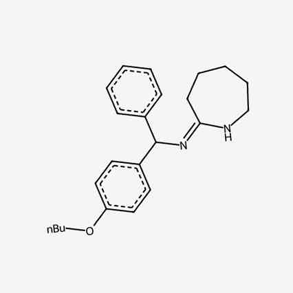 CCCCOc1ccc(C(N=C2CCCCCN2)c2ccccc2)cc1